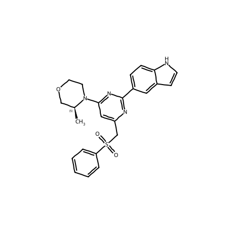 C[C@H]1COCCN1c1cc(CS(=O)(=O)c2ccccc2)nc(-c2ccc3[nH]ccc3c2)n1